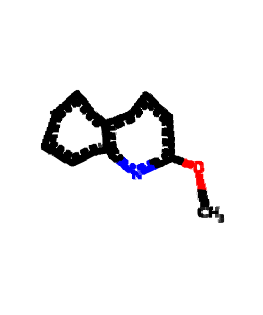 COc1ccc2c[c]ccc2n1